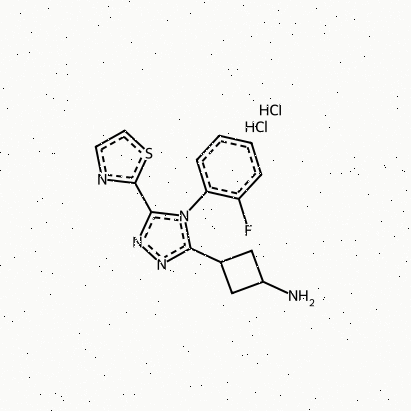 Cl.Cl.NC1CC(c2nnc(-c3nccs3)n2-c2ccccc2F)C1